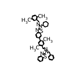 Cc1ccc(C)c(/C=N/N(c2nc3ccc(-c4cc(C)c(/C=N/N(Cc5ccccc5)c5nc6ccccc6s5)cc4C)cc3s2)C2CCCCC2)c1